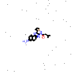 CC(C)CC(=O)Nc1nc2c(nc1-c1cccs1)-c1ccc(N)cc1CC2